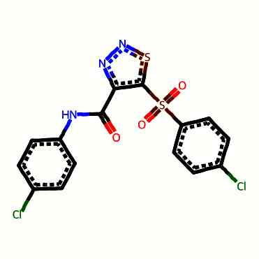 O=C(Nc1ccc(Cl)cc1)c1nnsc1S(=O)(=O)c1ccc(Cl)cc1